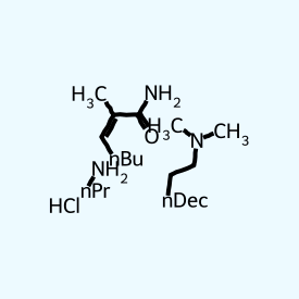 CCCCC=C(C)C(N)=O.CCCCCCCCCCCCN(C)C.CCCN.Cl